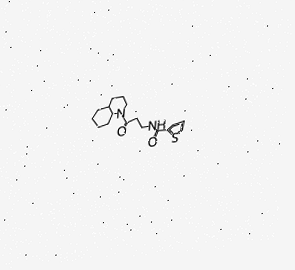 O=C(NCCC(=O)N1CCCC2CCCCC21)c1cccs1